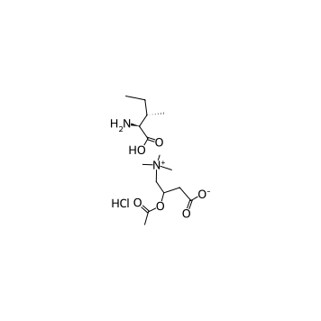 CC(=O)OC(CC(=O)[O-])C[N+](C)(C)C.CC[C@H](C)[C@H](N)C(=O)O.Cl